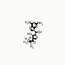 CC(C)(C)C(=O)[C@]1(F)CO[C@H](C(O)n2cnc3c(N)nc(N)nc32)[C@H]1O